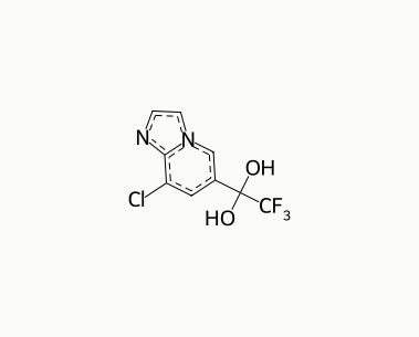 OC(O)(c1cc(Cl)c2nccn2c1)C(F)(F)F